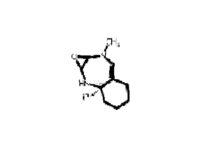 CC(C)[C@@]12CCCCC1=CN(C)C1OC1N2